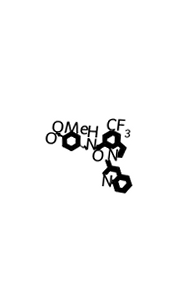 COC(=O)[C@H]1CC[C@H](CNC(=O)c2cc(C(F)(F)F)cc3ccn(Cc4cnc5ccccc5c4)c23)CC1